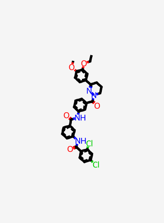 CCOc1cc(C2=NN(C(=O)c3cccc(NC(=O)c4cccc(NC(=O)c5ccc(Cl)cc5Cl)c4)c3)CCC2)ccc1OC